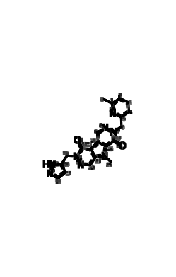 Cc1cccc(Cn2ncc3c4c(=O)n(Cc5ccn[nH]5)ncc4n(C)c3c2=O)n1